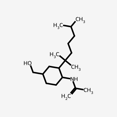 C=C(C)NC1CCC(CO)CC1C(C)(C)CCCC(C)C